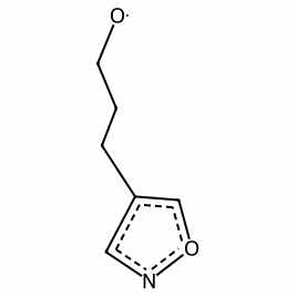 [O]CCCc1cnoc1